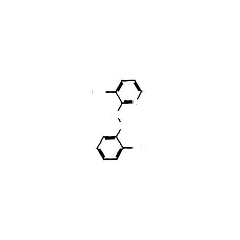 CC(=O)Oc1ccccc1SSc1ncccc1C